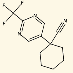 N#CC1(c2cnc(C(F)(F)F)nc2)CCCCC1